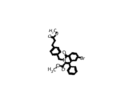 COC(=O)CCc1ccc(Cn2c(C(=O)OC)c(-c3ccccc3)c3cc(Br)ccc3c2=O)cc1